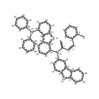 C=C(/C=C\c1ccccc1C)N(c1ccc2oc3ccccc3c2c1)c1cccc2c1sc1cccc(N(c3ccccc3)c3ccccc3)c12